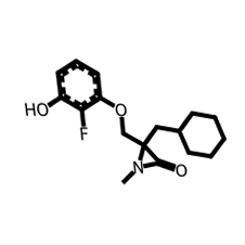 CN1C(=O)C1(COc1cccc(O)c1F)CC1CCCCC1